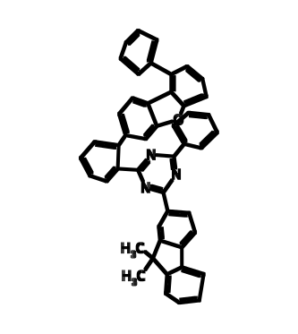 CC1(C)c2ccccc2-c2ccc(-c3nc(-c4ccccc4)nc(-c4ccccc4-c4ccc5c(c4)oc4cccc(-c6ccccc6)c45)n3)cc21